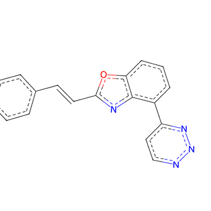 C(=Cc1nc2c(-c3ccnnn3)cccc2o1)c1ccccc1